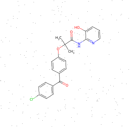 CC(C)(Oc1ccc(C(=O)c2ccc(Cl)cc2)cc1)C(=O)Nc1ncccc1O